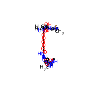 CNC(=O)c1nnc(NC(=O)C2CC2)cc1Nc1cccc(-c2ncn(CCNC(=O)CCOCCOCCOCCOCCOCCC(=O)N[C@H](C(=O)N3C[C@H](O)C[C@H]3C(=O)NCc3ccc(-c4scnc4C)cc3)C(C)(C)C)n2)c1OC